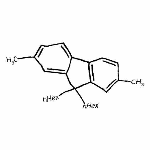 CCCCCCC1(CCCCCC)c2cc(C)ccc2-c2ccc(C)cc21